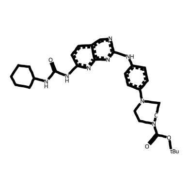 CC(C)(C)OC(=O)N1CCN(c2ccc(Nc3ncc4ccc(NC(=O)NC5CCCCC5)nc4n3)cc2)CC1